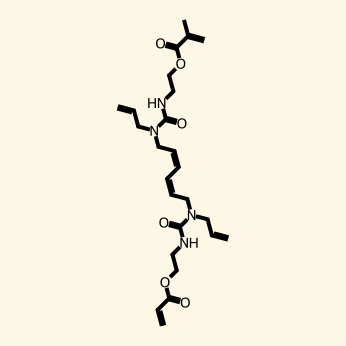 C=CCN(C/C=C\C=C/CN(CC=C)C(=O)NCCOC(=O)C(=C)C)C(=O)NCCOC(=O)C=C